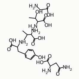 CC(C)C(N)C(=O)O.CC(O)C(N)C(=O)O.NC(=O)CC(N)C(=O)O.NC(Cc1ccc(O)cc1)C(=O)O.NCC(=O)O